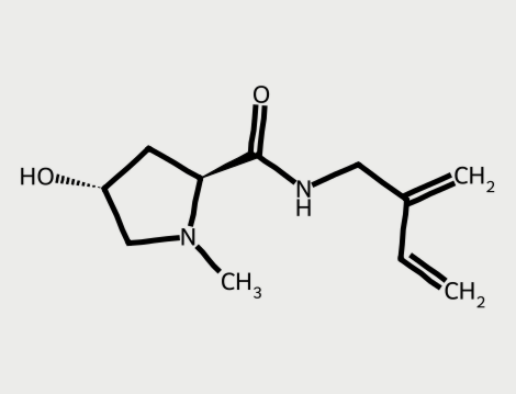 C=CC(=C)CNC(=O)[C@@H]1C[C@@H](O)CN1C